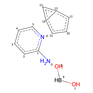 Nc1ccccn1.OBO.c1cc2cc-2c1